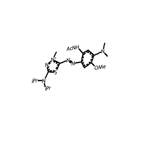 COc1cc(N=Nc2sc(N(C(C)C)C(C)C)n[n+]2C)c(NC(C)=O)cc1N(C)C